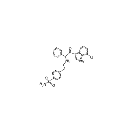 NS(=O)(=O)c1ccc(CCNC(C(=O)c2c[nH]c3c(Cl)cccc23)c2ccccc2)cc1